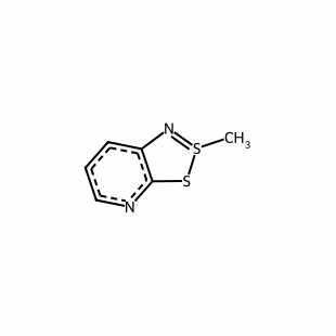 CS1=Nc2cccnc2S1